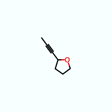 CC#CC1CCCO1